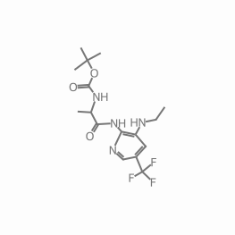 CCNc1cc(C(F)(F)F)cnc1NC(=O)C(C)NC(=O)OC(C)(C)C